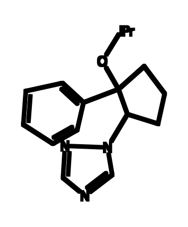 CC(C)OC1(c2ccccc2)CCCC1n1cncn1